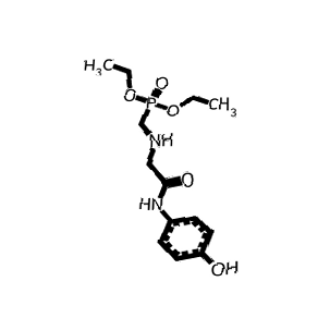 CCOP(=O)(CNCC(=O)Nc1ccc(O)cc1)OCC